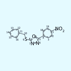 O=[N+]([O-])c1ccc(-c2nnc(SCc3ccccc3)o2)cc1